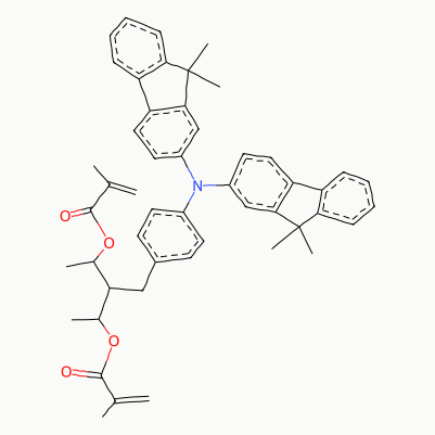 C=C(C)C(=O)OC(C)C(Cc1ccc(N(c2ccc3c(c2)C(C)(C)c2ccccc2-3)c2ccc3c(c2)C(C)(C)c2ccccc2-3)cc1)C(C)OC(=O)C(=C)C